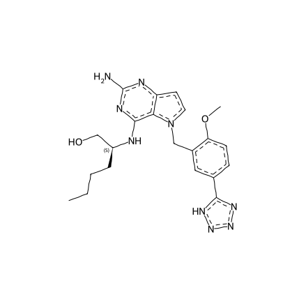 CCCC[C@@H](CO)Nc1nc(N)nc2ccn(Cc3cc(-c4nnn[nH]4)ccc3OC)c12